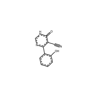 N#Cc1c(-c2ccccc2O)nc[nH]c1=O